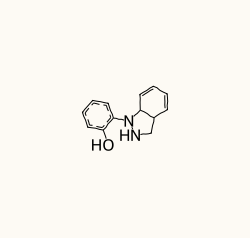 Oc1ccccc1N1NCC2C=CC=CC21